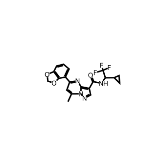 Cc1cc(-c2cccc3c2OCO3)nc2c(C(=O)NC(C3CC3)C(F)(F)F)cnn12